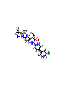 CCC(C(=O)Nc1ccc(-c2cncc(F)c2)cn1)c1csc(N[S+]([O-])C2CC2)n1